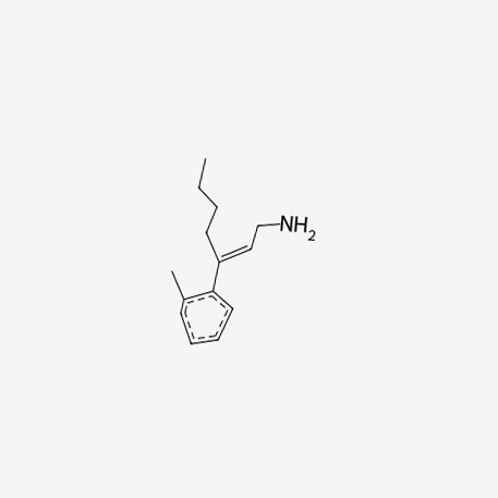 CCCC/C(=C\CN)c1ccccc1C